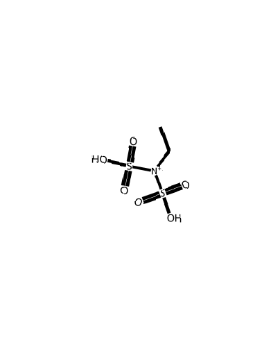 CC[N+](S(=O)(=O)O)S(=O)(=O)O